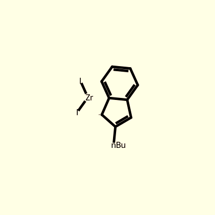 CCCCC1=Cc2ccccc2[CH]1.[I][Zr][I]